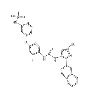 CC(C)(C)n1cc(NC(=O)Nc2ccc(Oc3ccnc(NS(C)(=O)=O)c3)cc2F)c(-c2ccc3ncccc3c2)n1